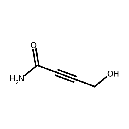 NC(=O)C#CCO